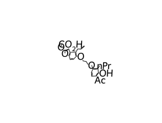 C=CCc1c(OCCCOc2ccc(C(C)=O)c(O)c2CCC)ccc2oc(OC(=O)O)cc12